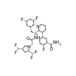 NC(=O)c1cc(-c2cccnc2[C@H](Cc2cc(F)cc(F)c2)NC(=O)Cn2cc(C(F)F)cc2C(F)F)ccc1F